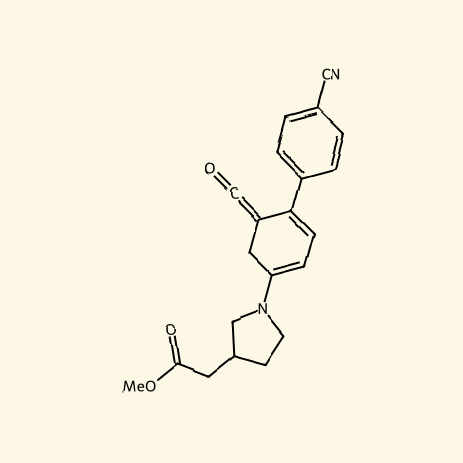 COC(=O)CC1CCN(C2=CC=C(c3ccc(C#N)cc3)C(=C=O)C2)C1